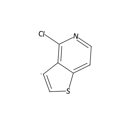 Clc1nccc2sc[c]c12